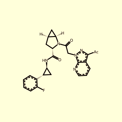 CC(=O)c1nn(CC(=O)N2[C@@H]3C[C@@H]3C[C@H]2C(=O)N[C@H]2C[C@@H]2c2ccccc2F)c2ncccc12